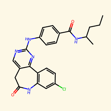 CCCC(C)NC(=O)c1ccc(Nc2ncc3c(n2)-c2ccc(Cl)cc2NC(=O)C3)cc1